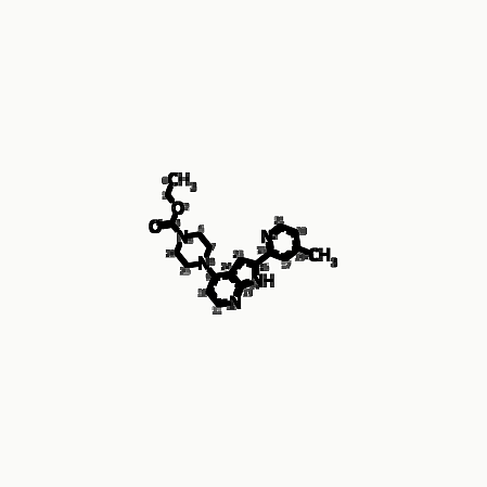 CCOC(=O)N1CCN(c2ccnc3[nH]c(-c4cc(C)ccn4)cc23)CC1